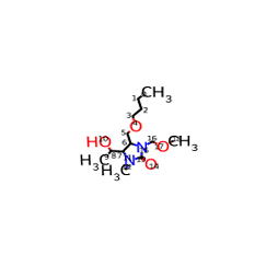 CCCCOCC1C(C(C)O)N(C)C(=O)N1COC